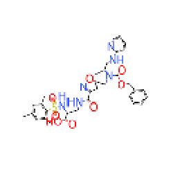 Cc1cc(C)c(S(=O)(=O)NC(CNC(=O)C2=NO[C@]3(C2)CC(CNc2ccccn2)N(C(=O)OCc2ccccc2)C3)C(=O)O)c(C)c1